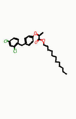 CCCCCCCCCCCCOC(=O)C(C)Oc1ccc(Cc2ccc(Cl)cc2Cl)cc1